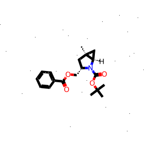 CC(C)(C)OC(=O)N1[C@H](COC(=O)c2ccccc2)C[C@@]2(C)C[C@@H]12